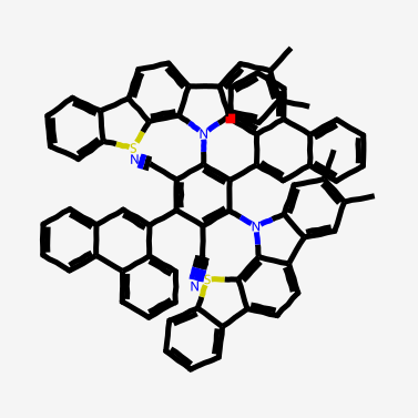 Cc1cc2c3ccc4c5ccccc5sc4c3n(-c3c(C#N)c(-c4cc5ccccc5c5ccccc45)c(C#N)c(-n4c5cc(C)c(C)cc5c5ccc6c7ccccc7sc6c54)c3-c3cc4ccccc4c4ccccc34)c2cc1C